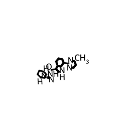 Cc1ccnc(-c2cccc3c(C(=O)N[C@@H]4C[C@@H]5CC[C@H]4N5C#N)c[nH]c23)n1